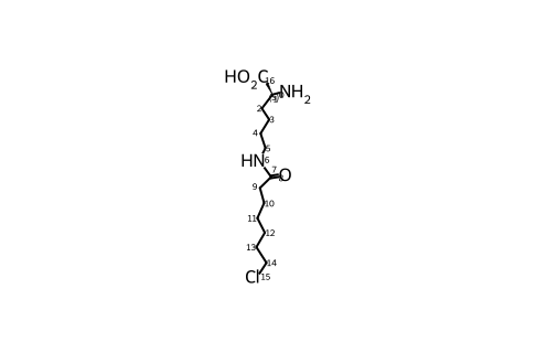 N[C@@H](CCCCNC(=O)CCCCCCCl)C(=O)O